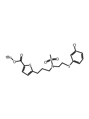 CC(C)(C)OC(=O)c1ccc(CCCN(CCSc2cccc(Cl)c2)S(C)(=O)=O)s1